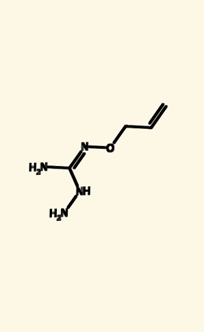 C=CCON=C(N)NN